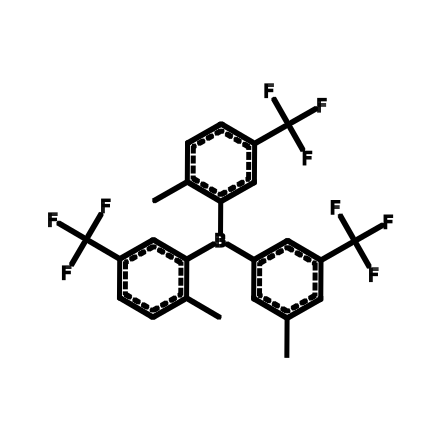 Cc1cc(B(c2cc(C(F)(F)F)ccc2C)c2cc(C(F)(F)F)ccc2C)cc(C(F)(F)F)c1